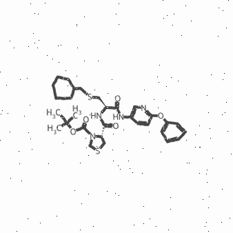 CC(C)(C)OC(=O)N1CSC[C@H]1C(=O)N[C@@H](CSCC1CCCCC1)C(=O)Nc1ccc(Oc2ccccc2)nc1